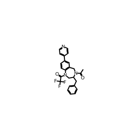 CC(=O)N1Cc2cc(-c3ccncc3)ccc2N(C(=O)C(F)(F)F)CC1Cc1ccccc1